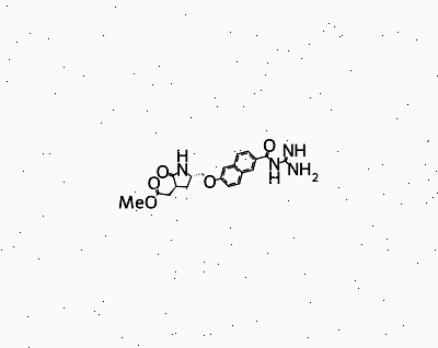 COC(=O)C[C@@H]1C[C@@H](COc2ccc3cc(C(=O)NC(=N)N)ccc3c2)NC1=O